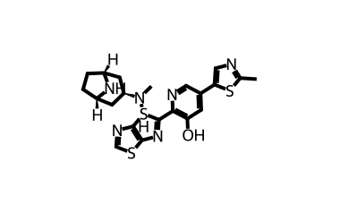 Cc1ncc(-c2cnc(C3=Nc4scnc4[SH]3N(C)[C@@H]3C[C@H]4CC[C@@H](C3)N4)c(O)c2)s1